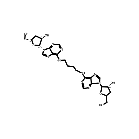 OCC1C[C@@H](O)C(n2cnc3c(NCCCCNc4ncnc5c4ncn5[C@@H]4O[C@H](CO)C[C@H]4O)ncnc32)O1